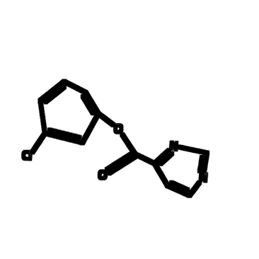 O=C(Oc1cccc(Cl)c1)c1ccncn1